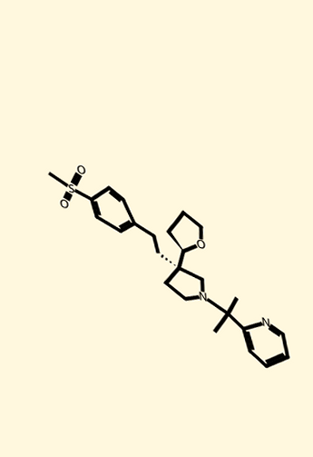 CC(C)(c1ccccn1)N1CC[C@@](CCc2ccc(S(C)(=O)=O)cc2)([C@H]2CCCO2)C1